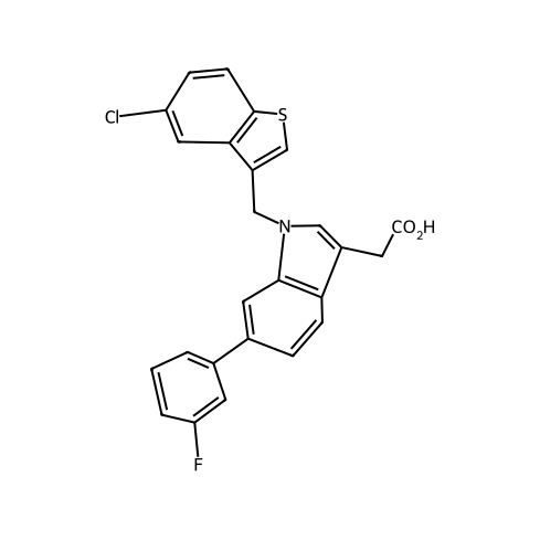 O=C(O)Cc1cn(Cc2csc3ccc(Cl)cc23)c2cc(-c3cccc(F)c3)ccc12